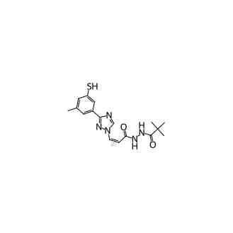 Cc1cc(S)cc(-c2ncn(/C=C\C(=O)NNC(=O)C(C)(C)C)n2)c1